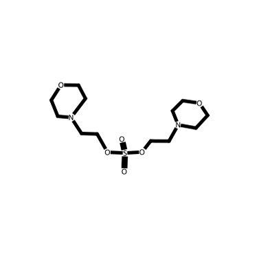 O=S(=O)(OCCN1CCOCC1)OCCN1CCOCC1